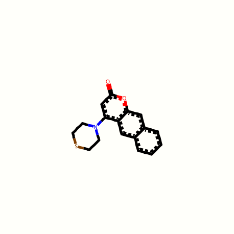 O=c1cc(N2CCSCC2)c2cc3ccccc3cc2o1